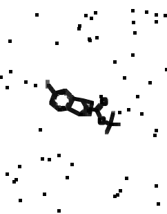 CC(C)(C)OC(=O)N1C2CCC1c1cc(I)ccc12